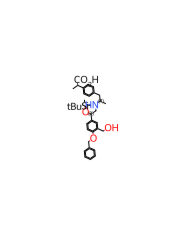 CC(C(=O)O)c1ccc(C[C@@H](C)NC[C@H](O[Si](C)(C)C(C)(C)C)c2ccc(OCc3ccccc3)c(CO)c2)cc1